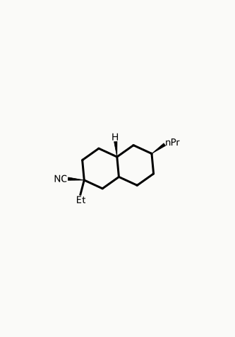 CCC[C@H]1CCC2C[C@](C#N)(CC)CC[C@@H]2C1